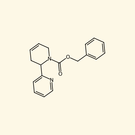 O=C(OCc1ccccc1)N1CC=CCC1c1ccccn1